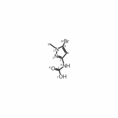 Cn1nc(NC(=O)O)cc1Br